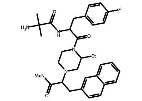 CCC1CN(C(Cc2ccc3ccccc3c2)C(=O)NC)CCN1C(=O)C(Cc1ccc(F)cc1)NC(=O)C(C)(C)N